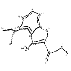 COC(=O)c1sc2ncnc(N(C)C)c2c1N